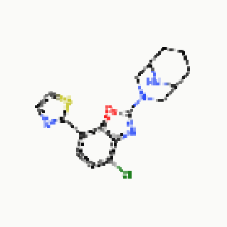 Clc1ccc(-c2nccs2)c2oc(N3CC4CCCC(C3)N4)nc12